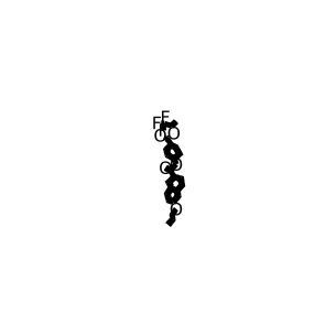 C=CCOc1ccc2cc(C(=O)Oc3ccc(C(=O)OC(=C)C(F)(F)F)cc3)ccc2c1